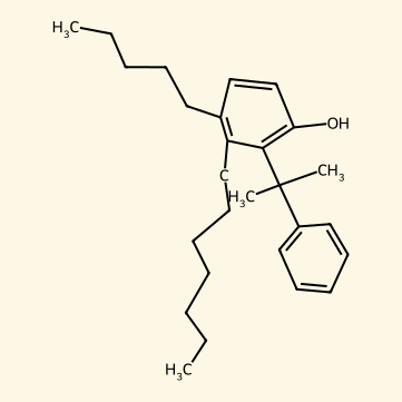 CCCCCCCc1c(CCCCC)ccc(O)c1C(C)(C)c1ccccc1